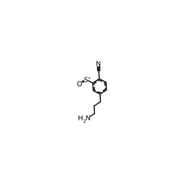 N#Cc1ccc(CCCN)cc1[S+]=O